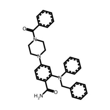 NC(=O)c1ccc(N2CCN(C(=O)c3ccccc3)CC2)cc1N(Cc1ccccc1)c1ccccc1